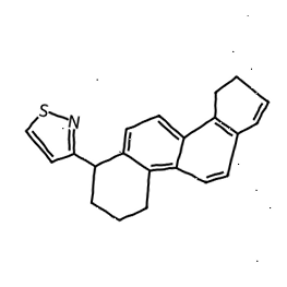 C1=Cc2ccc3c4c(ccc3c2CC1)C(c1ccsn1)CCC4